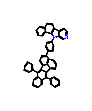 c1ccc(-c2c3c(c(-c4ccccc4)c4ccccc24)-c2ccc(-c4ccc(-n5c6cnccc6c6ccc7ccccc7c65)cc4)c4cccc-3c24)cc1